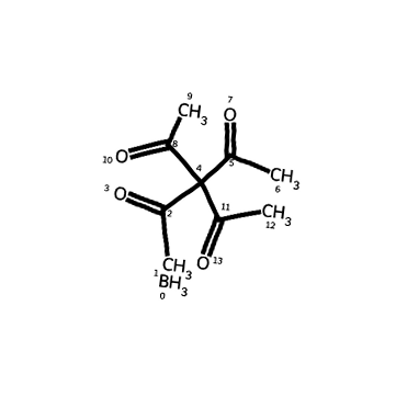 B.CC(=O)C(C(C)=O)(C(C)=O)C(C)=O